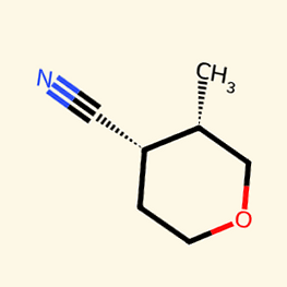 C[C@@H]1COCC[C@@H]1C#N